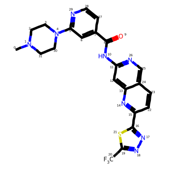 CN1CCN(c2cc(C(=O)Nc3cc4nc(-c5nnc(C(F)(F)F)s5)ccc4cn3)ccn2)CC1